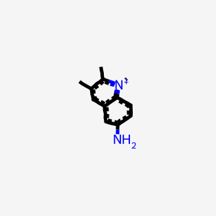 Cc1cc2cc(N)ccc2[n+](C)c1C